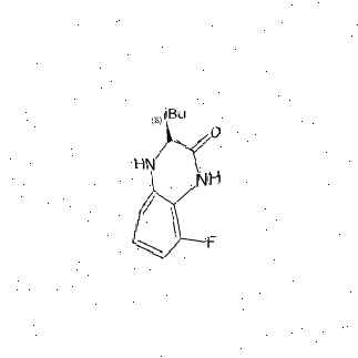 CC[C@H](C)C1Nc2cccc(F)c2NC1=O